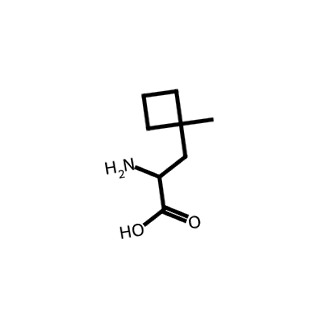 CC1(CC(N)C(=O)O)CCC1